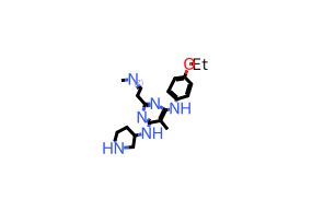 CCOc1ccc(Nc2nc(C/C=N\C)nc(NC3CCCNC3)c2C)cc1